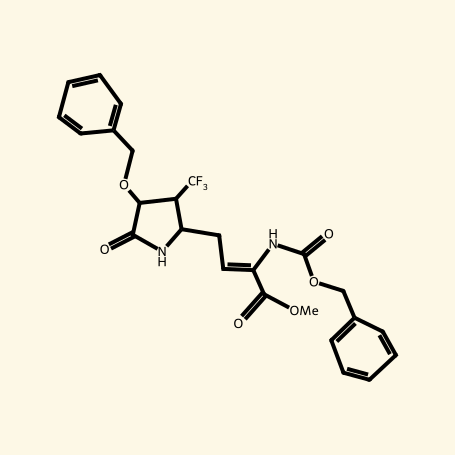 COC(=O)C(=CCC1NC(=O)C(OCc2ccccc2)C1C(F)(F)F)NC(=O)OCc1ccccc1